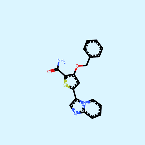 NC(=O)c1sc(-c2cnc3ccccn23)cc1OCc1ccccc1